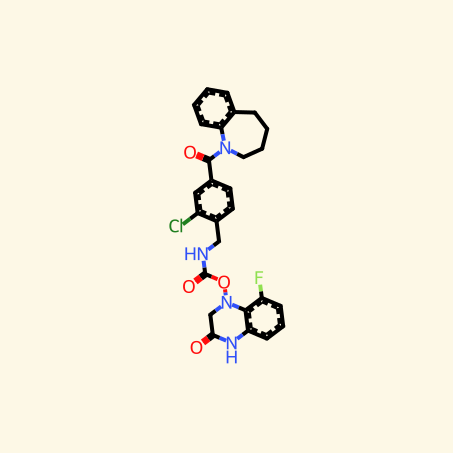 O=C1CN(OC(=O)NCc2ccc(C(=O)N3CCCCc4ccccc43)cc2Cl)c2c(F)cccc2N1